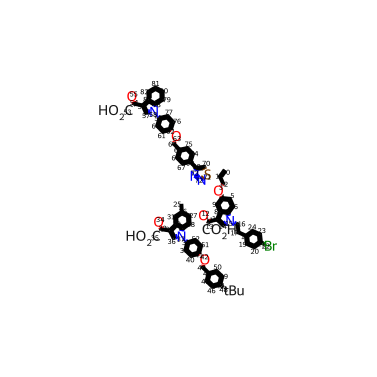 C=CCOc1ccc2c(c1)c(C(=O)C(=O)O)cn2CCc1ccc(Br)cc1.Cc1ccc2c(c1)c(C(=O)C(=O)O)cn2-c1ccc(OCc2ccc(C(C)(C)C)cc2)cc1.O=C(O)C(=O)c1cn(-c2ccc(OCc3ccc(-c4csnn4)cc3)cc2)c2ccccc12